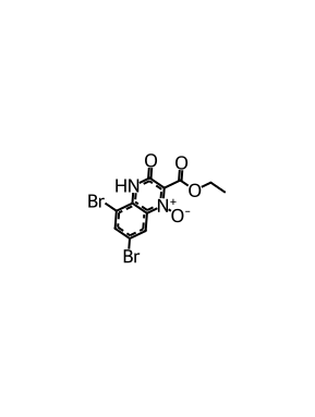 CCOC(=O)c1c(=O)[nH]c2c(Br)cc(Br)cc2[n+]1[O-]